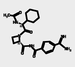 CC(=O)N[C@@H](C(=O)N1CC[C@H]1C(=O)NC(=O)c1ccc(C(=N)N)cc1)C1CCCCC1